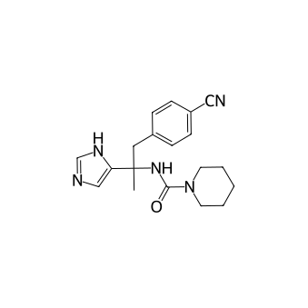 CC(Cc1ccc(C#N)cc1)(NC(=O)N1CCCCC1)c1cnc[nH]1